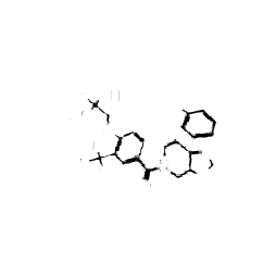 CC(C)(F)COc1ccc(C(=O)N2CC[C@@]3(c4cccc(F)c4)OCOC3C2)cc1C(F)(F)F